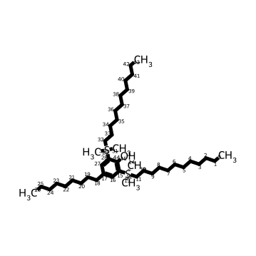 CCCCCCCCCCCCS(C)(C)c1cc(CCCCCCCCC)cc(S(C)(C)CCCCCCCCCCCC)c1O